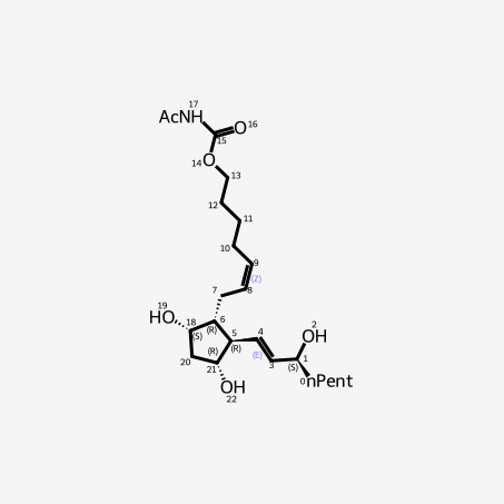 CCCCC[C@H](O)/C=C/[C@@H]1[C@@H](C/C=C\CCCCOC(=O)NC(C)=O)[C@@H](O)C[C@H]1O